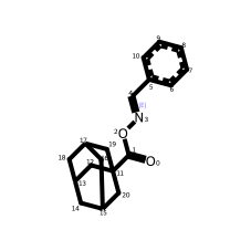 O=C(O/N=C/c1ccccc1)C12CC3CC(CC(C3)C1)C2